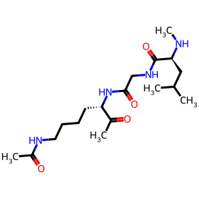 CN[C@@H](CC(C)C)C(=O)NCC(=O)N[C@@H](CCCCNC(C)=O)C(C)=O